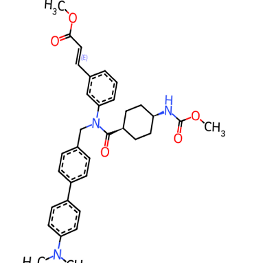 COC(=O)/C=C/c1cccc(N(Cc2ccc(-c3ccc(N(C)C)cc3)cc2)C(=O)[C@H]2CC[C@@H](NC(=O)OC)CC2)c1